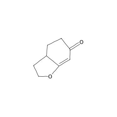 O=C1C=C2OCCC2CC1